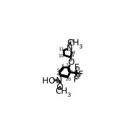 CON(O)c1ccc(OC2CCN(C)C2)c(C(F)(F)F)c1